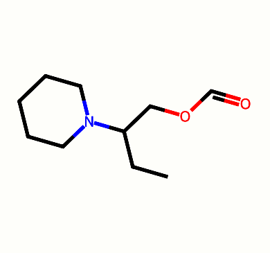 CCC(COC=O)N1CCCCC1